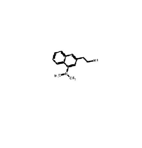 CN(C)c1cc(CC[NH])cc2ccccc12